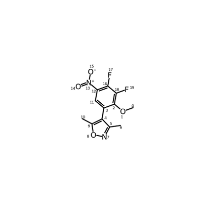 COc1c(-c2c(C)noc2C)cc([N+](=O)[O-])c(F)c1F